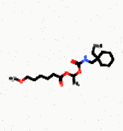 CC(OC(=O)CCCCCO[N+](=O)[O-])OC(=O)NCC1(CC(=O)O)CCCCC1